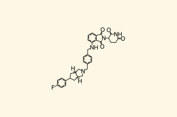 O=C1CCC(N2C(=O)c3cccc(NCc4ccc(CN5C[C@H]6CC(c7ccc(F)cc7)C[C@H]6C5)cc4)c3C2=O)C(=O)N1